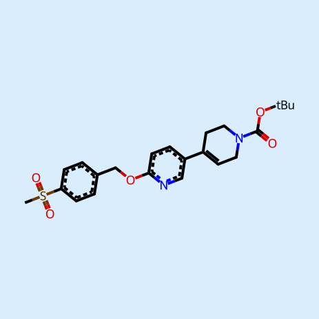 CC(C)(C)OC(=O)N1CC=C(c2ccc(OCc3ccc(S(C)(=O)=O)cc3)nc2)CC1